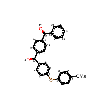 COc1ccc(Sc2ccc(C(=O)c3ccc(C(=O)c4ccccc4)cc3)cc2)cc1